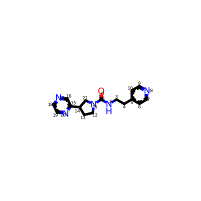 O=C(NCCc1ccncc1)N1CCC(c2cnccn2)C1